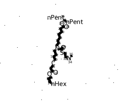 CCCCCC/C=C\COC(=O)CCCCCCCN(CCCCCCCC(=O)OC(CCCCC)CCCCC)C(=O)SCCN(C)C